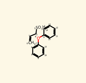 C=CCS(=O)(=O)O.c1ccc(Oc2ccccc2)cc1